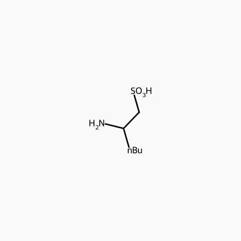 CCCCC(N)CS(=O)(=O)O